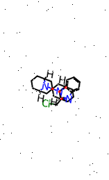 ClCc1nc2ccccc2n1[C@@H]1C[C@H]2CCC[C@@H](C1)N2[C@@H]1C[C@@H]2CCC[C@@H](C2)C1